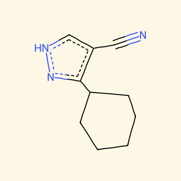 N#Cc1c[nH]nc1C1CCCCC1